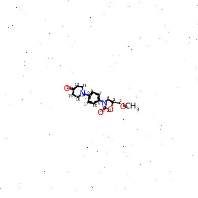 COC[C@@H]1CN(c2ccc(N3CCC(=O)CC3)cc2)C(=O)O1